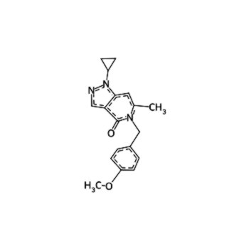 COc1ccc(Cn2c(C)cc3c(cnn3C3CC3)c2=O)cc1